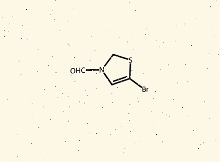 O=CN1C=C(Br)SC1